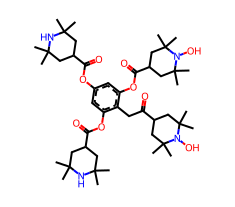 CC1(C)CC(C(=O)Oc2cc(OC(=O)C3CC(C)(C)NC(C)(C)C3)c(CC(=O)C3CC(C)(C)N(O)C(C)(C)C3)c(OC(=O)C3CC(C)(C)N(O)C(C)(C)C3)c2)CC(C)(C)N1